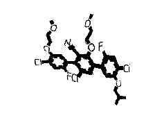 COCCOc1cc(-c2c(Cl)[c]c(-c3cc(OCC(C)C)c(Cl)cc3F)c(OCCOC)c2C#N)c(F)cc1Cl